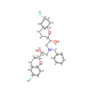 OC(CN(Cc1ccccc1)C[C@H](O)[C@@H]1CCc2cc(F)ccc2O1)C1CCc2cc(F)ccc2O1